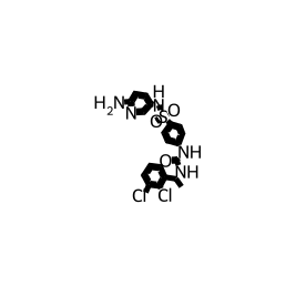 CC(NC(=O)Nc1ccc(S(=O)(=O)Nc2ccc(N)nc2)cc1)c1cccc(Cl)c1Cl